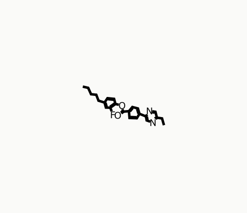 CCCCCc1ccc(OC(=O)c2ccc(-c3cnc(CC)cn3)cc2)c(F)c1